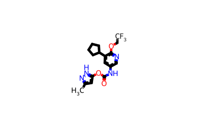 Cc1cc(OC(=O)Nc2cnc(OCC(F)(F)F)c(C3CCCC3)c2)[nH]n1